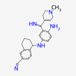 CN1CC=C(C(=N)c2cc(NC3CCCc4cc(C#N)ccc43)ccc2N)CC1